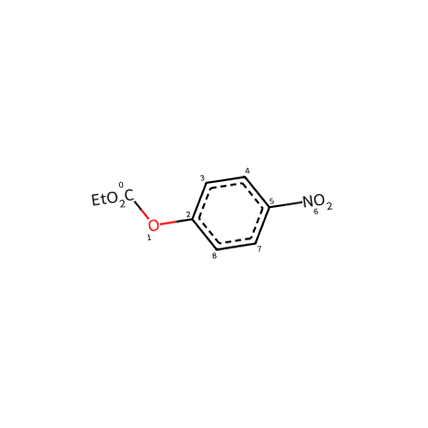 [CH2]COC(=O)Oc1ccc([N+](=O)[O-])cc1